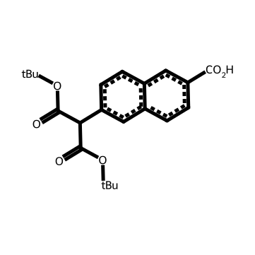 CC(C)(C)OC(=O)C(C(=O)OC(C)(C)C)c1ccc2cc(C(=O)O)ccc2c1